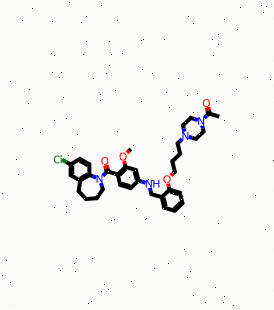 COc1cc(NCc2ccccc2OCCCCN2CCN(C(C)=O)CC2)ccc1C(=O)N1CCCCc2cc(Cl)ccc21